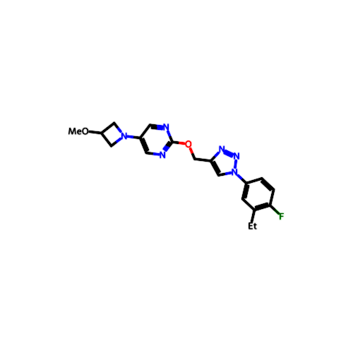 CCc1cc(-n2cc(COc3ncc(N4CC(OC)C4)cn3)nn2)ccc1F